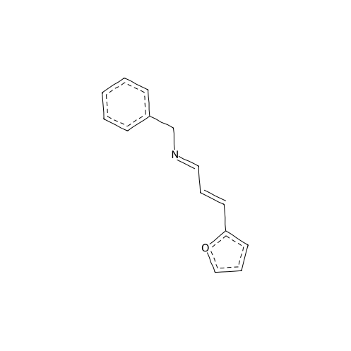 C(=C\c1ccco1)/C=N/Cc1ccccc1